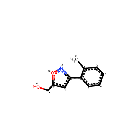 Cc1ccccc1-c1cc(CO)on1